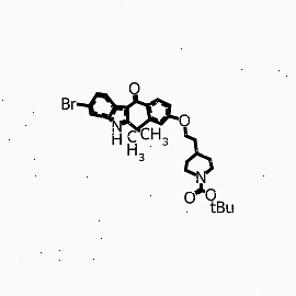 CC(C)(C)OC(=O)N1CCC(CCOc2ccc3c(c2)C(C)(C)c2[nH]c4cc(Br)ccc4c2C3=O)CC1